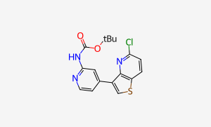 CC(C)(C)OC(=O)Nc1cc(-c2csc3ccc(Cl)nc23)ccn1